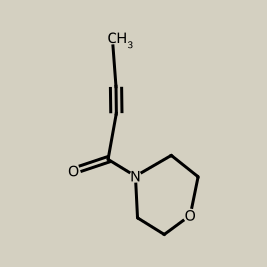 CC#CC(=O)N1CCOCC1